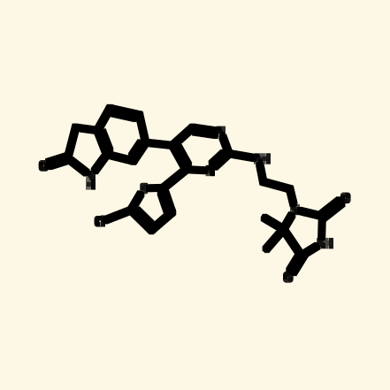 CC1(C)C(=O)NC(=O)N1CCNc1ncc(-c2ccc3c(c2)NC(=O)C3)c(-c2ccc(Cl)s2)n1